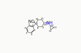 N#C[C@]1(c2ccccc2)CC[C@H](NC2CC2)CC1